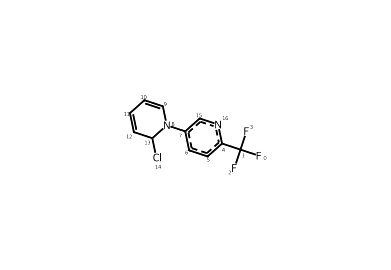 FC(F)(F)c1ccc(N2C=CC=CC2Cl)cn1